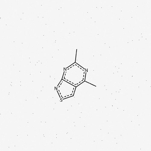 Cc1nc(C)c2csnc2n1